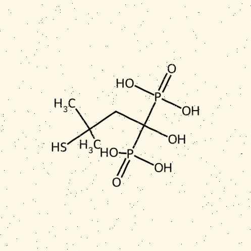 CC(C)(S)CC(O)(P(=O)(O)O)P(=O)(O)O